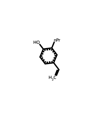 C=Cc1ccc(O)c(CCC)c1